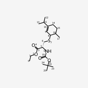 CCOC(=O)[C@H](CSC1C=C(C(C)C)CCC1C)NC(=O)OC(C)(C)C